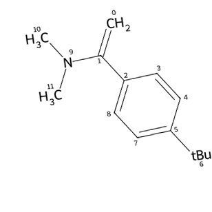 C=C(c1ccc(C(C)(C)C)cc1)N(C)C